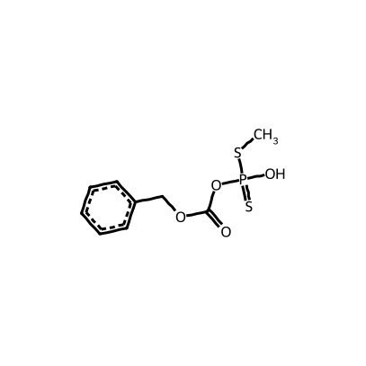 CSP(O)(=S)OC(=O)OCc1ccccc1